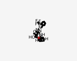 N#Cc1cnc(NCc2ccccc2OC(F)(F)F)nc1NC[C@]12CC3C[C@H](C1)[C@@H](NCC(O)CCO)[C@@H](C3)C2